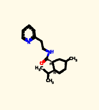 CC1CC[C@@H](C(C)C)[C@H](C(=O)NCCc2ccccn2)C1